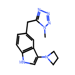 Cn1nnnc1Cc1ccc2[nH]cc(N3CCC3)c2c1